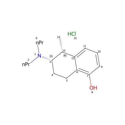 CCCN(CCC)[C@H]1CCc2c(O)cccc2[C@H]1C.Cl